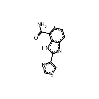 NC(=O)c1[c]ccc2nc(-c3cscn3)[nH]c12